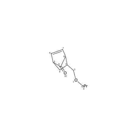 CCCOCC1CC2C=CC1C2=O